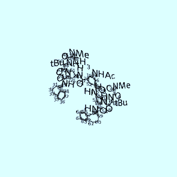 CN[C@@H](C)C(=O)N[C@H](C(=O)N1C[C@@H](NC(=O)c2cc(NC(C)=O)cc(C(=O)N[C@H]3C[C@@H](C(=O)N[C@@H]4CCCc5ccccc54)N(C(=O)[C@@H](NC(=O)[C@H](C)NC)C(C)(C)C)C3)c2)C[C@H]1C(=O)N[C@@H]1CCCc2ccccc21)C(C)(C)C